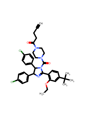 C#CCCC(=O)N1CCN(C(=O)N2C(c3ccc(C(C)(C)C)cc3OCC)=NC(c3ccc(Cl)cc3)C2c2ccc(Cl)cc2)CC1